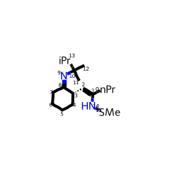 CCC/C(=C/[C@@H]1CCCC/C1=N/C(C)(C)C(C)C)NSC